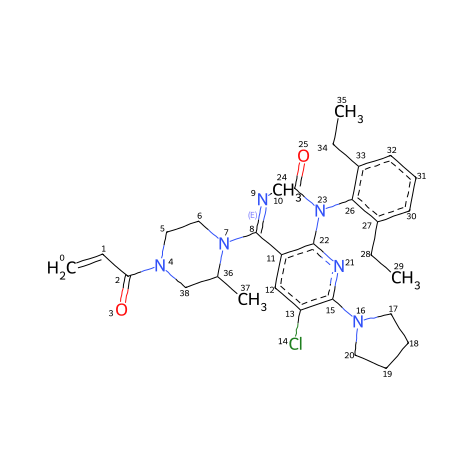 C=CC(=O)N1CCN(/C(=N/C)c2cc(Cl)c(N3CCCC3)nc2N(C=O)c2c(CC)cccc2CC)C(C)C1